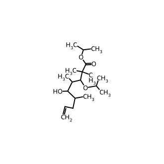 C=CCC(C)C(O)C(C)C(OC(C)C)C(C)(C)C(=O)OC(C)C